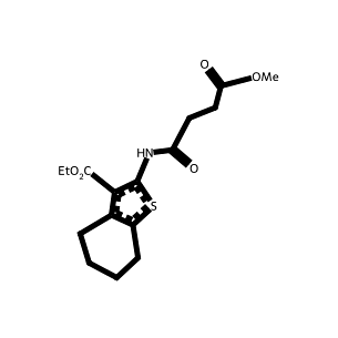 CCOC(=O)c1c(NC(=O)CCC(=O)OC)sc2c1CCCC2